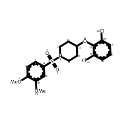 COc1ccc(S(=O)(=O)N2CCC(Oc3c(Cl)cccc3Cl)CC2)cc1OC